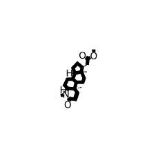 COC(=O)C[C@H]1CC[C@H]2C3CC[C@H]4N(C)C(=O)C=C[C@]4(C)C3CC[C@]12C